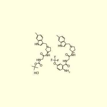 Cc1ccc2c(CN3CC[C@@H](NC(=O)CNC(=O)OC(C)(C)C)C3)c[nH]c2c1.Cc1ccc2c(CN3CC[C@@H](NC(=O)CNC(=O)c4cc(OC(F)(F)F)ccc4N)C3)c[nH]c2c1.Cl